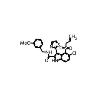 C=CCS(=O)(=O)c1c(Cl)ccc2[nH]c(C(=O)NCc3cccc(OC)c3)c(-c3nccs3)c12